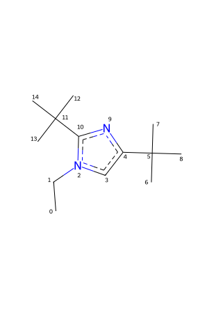 CCn1cc(C(C)(C)C)nc1C(C)(C)C